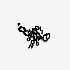 CN(C)c1cc(N2CCOCC2)cn2c(=O)c(O)c(C(=O)NCc3ccc(F)cc3)nc12